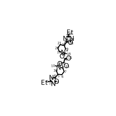 CCc1noc(C2CCC[N+](C)(OC(=O)C(=O)O[N+]3(C)CCCC(c4nc(CC)no4)C3)C2)n1